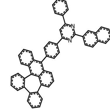 c1ccc(-c2cc(-c3ccc(-c4c5ccccc5c5c6c(cccc46)-c4ccccc4-c4ccccc4-5)cc3)nc(-c3ccc4ccccc4c3)n2)cc1